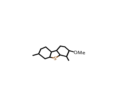 COC1CCC2C3CCC(C)CC3SC2C1C